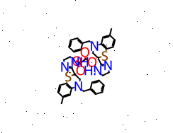 Cc1ccc2c(c1)N(Cc1ccccc1)CC(OC(=O)C(=O)OC1(C3=NCCN3)CN(Cc3ccccc3)c3cc(C)ccc3S1)(C1=NCCN1)S2